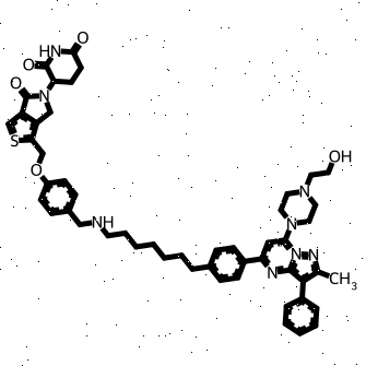 Cc1nn2c(N3CCN(CCO)CC3)cc(-c3ccc(CCCCCCCNCc4ccc(OCc5scc6c5CN(C5CCC(=O)NC5=O)C6=O)cc4)cc3)nc2c1-c1ccccc1